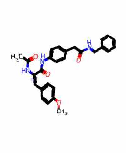 COc1ccc(/C=C(/NC(C)=O)C(=O)Nc2ccc(CC(=O)NCc3ccccc3)cc2)cc1